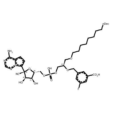 CCCCCCCCCCCCCCCCCCOC[C@H](COP(=O)(O)OC[C@H]1O[C@@](C#N)(c2ccc3c(N)ncnn23)[C@H](O)[C@@H]1O)OCc1cc(F)cc(C(=O)O)c1